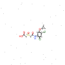 O=C(O)C[S+]([O-])CC(=O)Nc1cc(OC2CC2)c(Cl)cc1Cl